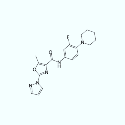 Cc1oc(-n2cccn2)nc1C(=O)Nc1ccc(N2CCCCC2)c(F)c1